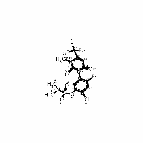 CN(C)S(=O)(=O)Oc1cc(-n2c(=O)cc(C(F)(F)F)n(C)c2=O)c(F)cc1Cl